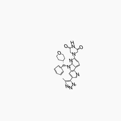 Cc1nnn(C)c1-c1cnc2c3ccc(N4CC(=O)NC(=O)C4)nc3n([C@H](c3ccccc3)C3CCOCC3)c2c1